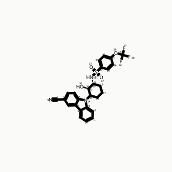 N#Cc1ccc2c(c1)c1ccccc1n2C1CCC[C@@H](NS(=O)(=O)c2ccc(OC(F)(F)F)cc2)[C@@H]1O